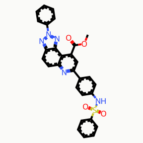 COC(=O)c1cc(-c2ccc(NS(=O)(=O)c3ccccc3)cc2)nc2ccc3nn(-c4ccccc4)nc3c12